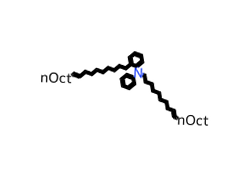 CCCCCCCCC=CCCCCCCCCc1ccccc1N(CCCCCCCCC=CCCCCCCCC)c1ccccc1